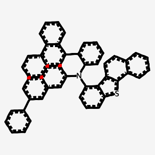 c1ccc(-c2ccc3ccc(N(c4ccccc4-c4cc5ccccc5c5ccccc45)c4cccc5sc6c7ccccc7ccc6c45)cc3c2)cc1